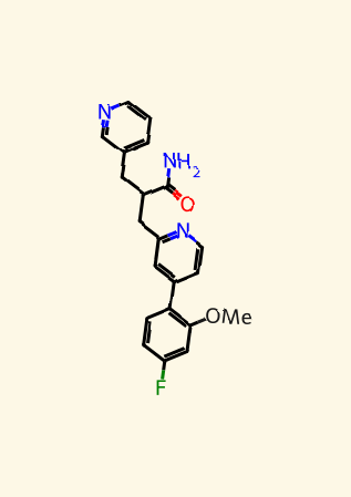 COc1cc(F)ccc1-c1ccnc(CC(Cc2cccnc2)C(N)=O)c1